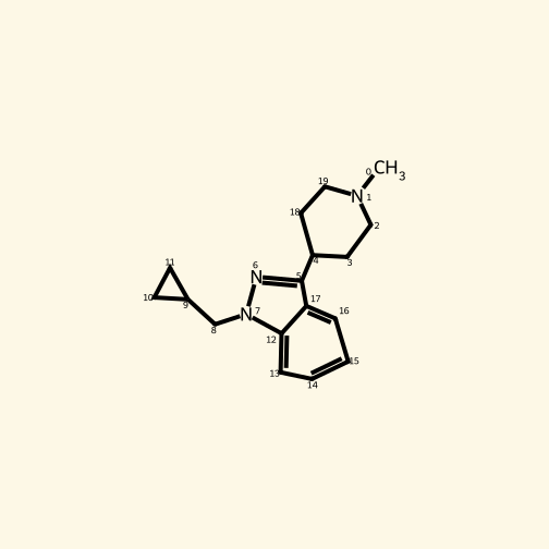 CN1CCC(c2nn(CC3CC3)c3ccccc23)CC1